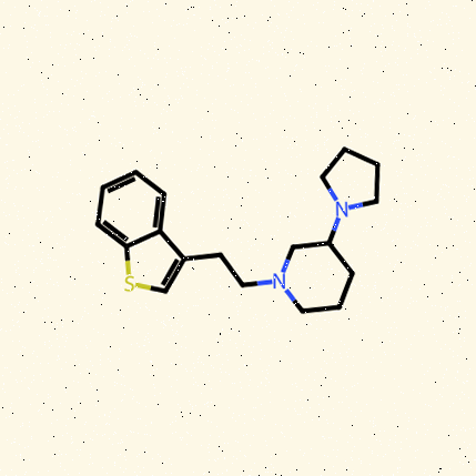 c1ccc2c(CCN3CCCC(N4CCCC4)C3)csc2c1